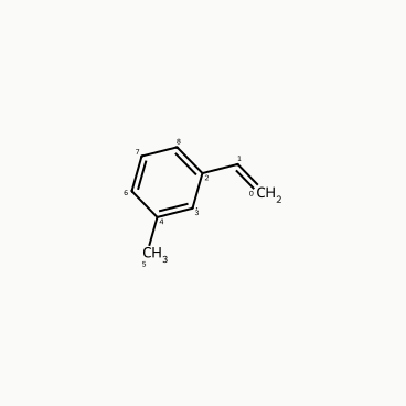 C=Cc1[c]c(C)ccc1